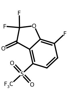 O=C1c2c(S(=O)(=O)C(F)(F)F)ccc(F)c2OC1(F)F